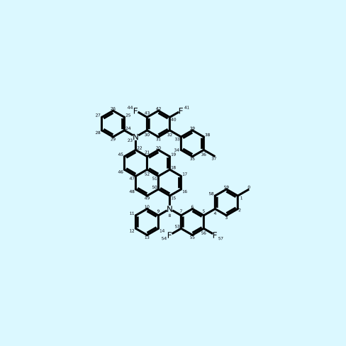 Cc1ccc(-c2cc(N(c3ccccc3)c3ccc4ccc5c(N(c6ccccc6)c6cc(-c7ccc(C)cc7)c(F)cc6F)ccc6ccc3c4c65)c(F)cc2F)cc1